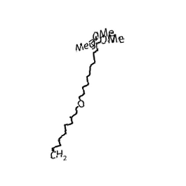 C=CCCCCCCCCOCCCCCCCCCC[Si](OC)(OC)OC